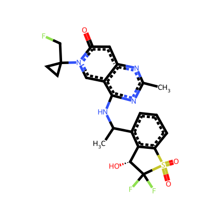 Cc1nc(NC(C)c2cccc3c2[C@@H](O)C(F)(F)S3(=O)=O)c2cn(C3(CF)CC3)c(=O)cc2n1